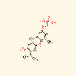 Cc1cc(OCP(=O)(O)O)cc(C)c1Oc1ccc(O)c(C(C)C)c1